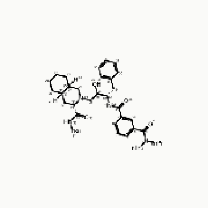 CCCN(CCC)C(=O)c1cccc(C(=O)N[C@@H](Cc2ccccc2)[C@H](O)CN2C[C@H]3CCCC[C@H]3C[C@H]2C(=O)NC(C)(C)C)c1